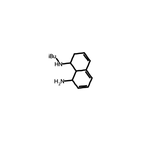 CCC(C)NC1CC=CC2=CC=CC(N)C21